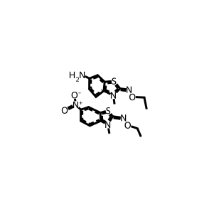 CCON=c1sc2cc(N)ccc2n1C.CCON=c1sc2cc([N+](=O)[O-])ccc2n1C